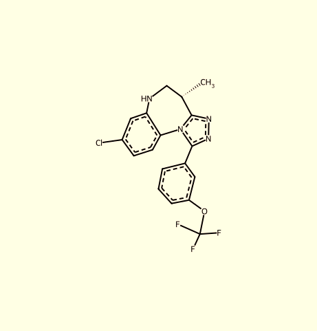 C[C@H]1CNc2cc(Cl)ccc2-n2c(-c3cccc(OC(F)(F)F)c3)nnc21